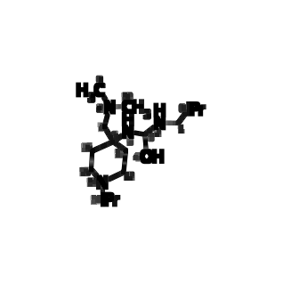 CC(C)CNC(O)NC1(CN(C)C)CCN(C(C)C)CC1